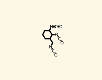 O=C=NCC1CCCC(N=C=O)C1N=C=O